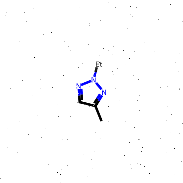 CCn1n[c]c(C)n1